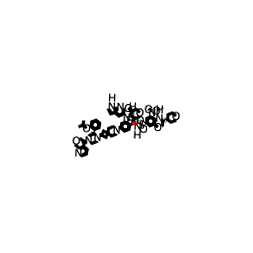 CC(C)Oc1ccccc1[C@@H]1CN([C@H]2COCc3ncccc32)CCN1C1CC2(CCN(c3ccc(C(=O)NS(=O)(=O)c4cc5c(c([N+](=O)[O-])c4)N[C@H](C4CCOCC4)CO5)c(N4c5cc6cc[nH]c6nc5O[C@H]5COCC[C@@H]54)c3)CC2)C1